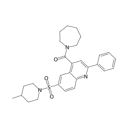 CC1CCN(S(=O)(=O)c2ccc3nc(-c4ccccc4)cc(C(=O)N4CCCCCC4)c3c2)CC1